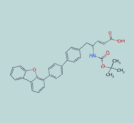 CC(C)(C)OC(=O)NC(C=CC(=O)O)Cc1ccc(-c2ccc(-c3cccc4c3oc3ccccc34)cc2)cc1